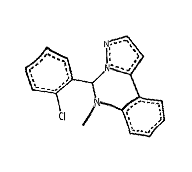 CN1c2ccccc2-c2ccnn2C1c1ccccc1Cl